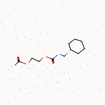 CC(C)C(=O)OCCOC(=O)NC[C@H]1CC[C@H](C(=O)[O-])CC1.[Na+]